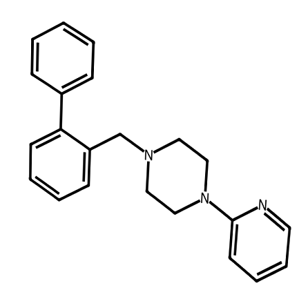 c1ccc(-c2ccccc2CN2CCN(c3ccccn3)CC2)cc1